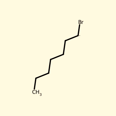 CCCCCC[CH]Br